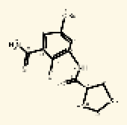 CC(C)COc1cc(NC(=O)[C@H]2CSCN2)c(Cl)c(C(N)=O)c1